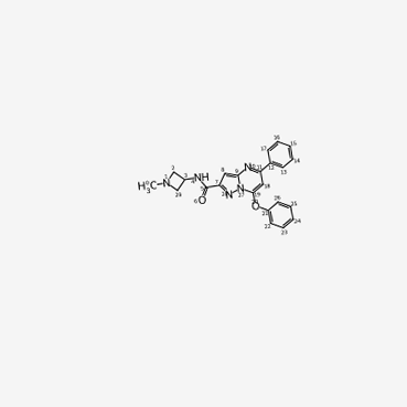 CN1CC(NC(=O)c2cc3nc(-c4ccccc4)cc(Oc4ccccc4)n3n2)C1